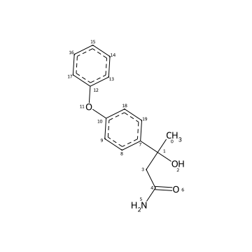 CC(O)(CC(N)=O)c1ccc(Oc2ccccc2)cc1